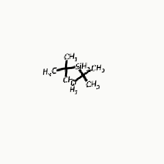 CC(C)(C)[SiH2]C(C)(C)C